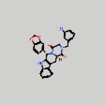 Nc1cccc(CN2CC(=O)N3[C@H](c4ccc5c(c4)OCO5)c4[nH]c5ccccc5c4C[C@@H]3C2=O)c1